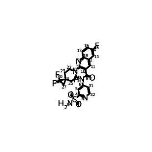 NS(=O)(=O)c1cc(NC(=O)c2cc3cc(F)ccc3nc2N2CCC3(CC2)CC3(F)F)ccn1